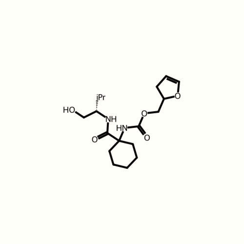 CC(C)[C@@H](CO)NC(=O)C1(NC(=O)OCC2CC=CO2)CCCCC1